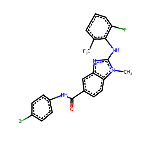 Cn1c(Nc2c(F)cccc2C(F)(F)F)nc2cc(C(=O)Nc3ccc(Br)cc3)ccc21